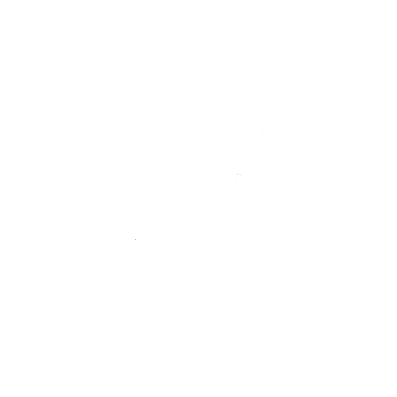 CC(C)NCC1CCC(C(=O)O)CC1